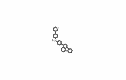 c1cncc(-c2ccc(Nc3ccc(-c4ccc5c6c(cccc46)-c4ccccc4-5)cc3)cc2)c1